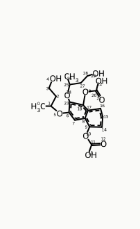 CC(CCO)Oc1cc2c(OC(=O)O)cccc2c(OC(=O)O)c1OC(C)CCO